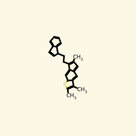 CC1=C(CCC2C=Cc3ccccc32)C2=CC3SC(C)=C(C)C3=CC2=C1